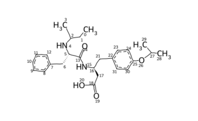 CCC(C)N[C@@H](Cc1ccccc1)C(=O)N[C@H](CC(=O)O)Cc1ccc(OC(C)C)cc1